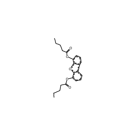 CCCCC(=O)Oc1cccc2c1oc1c(OC(=O)CCCC)cccc12